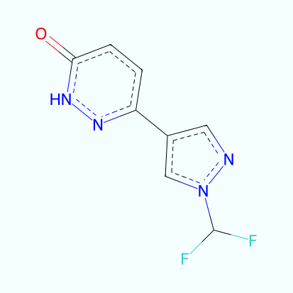 O=c1ccc(-c2cnn(C(F)F)c2)n[nH]1